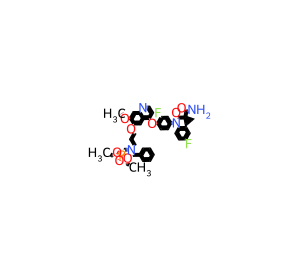 CCOP(=O)(CN(CCCOc1cc2c(Oc3ccc(N(C(=O)C4(C(N)=O)CC4)c4ccc(F)cc4)cc3F)ccnc2cc1OC)Cc1ccccc1)OCC